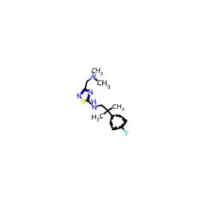 CN(C)Cc1nsc(NCC(C)(C)c2ccc(F)cc2)n1